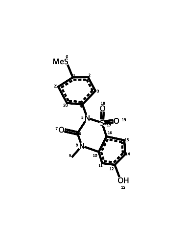 CSc1ccc(N2C(=O)N(C)c3cc(O)ccc3S2(=O)=O)cc1